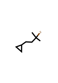 CC(C)([S])CCC1CC1